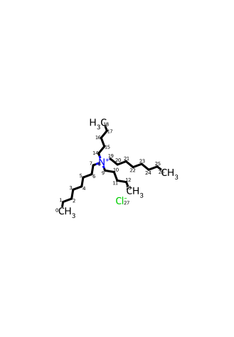 CCCCCCCC[N+](CCCCC)(CCCCC)CCCCCCCC.[Cl-]